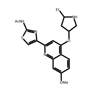 CCC1CC(Oc2cc(-c3csc(NC(C)=O)n3)nc3cc(OC)ccc23)CN1